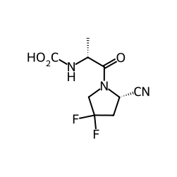 C[C@@H](NC(=O)O)C(=O)N1CC(F)(F)C[C@H]1C#N